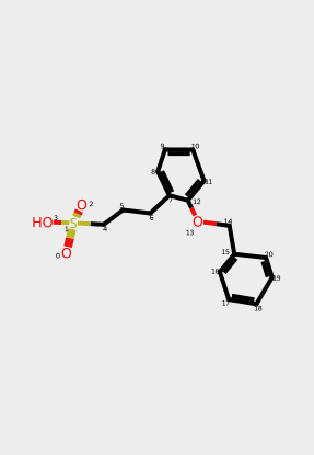 O=S(=O)(O)CCCc1ccccc1OCc1ccccc1